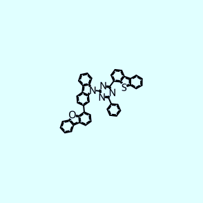 c1ccc(-c2nc(-c3cccc4c3sc3ccccc34)nc(-n3c4ccccc4c4ccc(-c5cccc6c5oc5ccccc56)cc43)n2)cc1